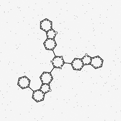 c1ccc(-c2cccc3oc4cc(-c5nc(-c6ccc7c(c6)oc6ccccc67)nc(-c6ccc7c(c6)oc6ccccc67)n5)ccc4c23)cc1